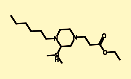 CCCCCCN1CCN(CCC(=O)OCC)CC1[SiH](C)C